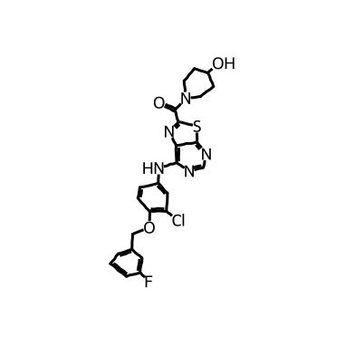 O=C(c1nc2c(Nc3ccc(OCc4cccc(F)c4)c(Cl)c3)ncnc2s1)N1CCC(O)CC1